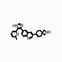 Cc1cccc(-c2[nH]cnc2-c2ccc3ncc(C4=CCC5(CC4)CNC5)cc3c2)n1